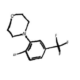 FC(F)(F)c1ccc(Br)c(N2CCOCC2)c1